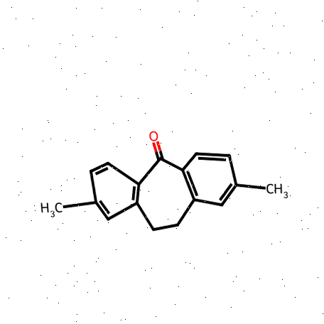 Cc1ccc2c(c1)CCc1cc(C)ccc1C2=O